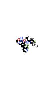 Cc1cc([C@@H](NC(=O)c2cc(CN3CCOC3=N)cc(-c3cccnc3C(F)(F)F)c2)C2CC2)ccc1F